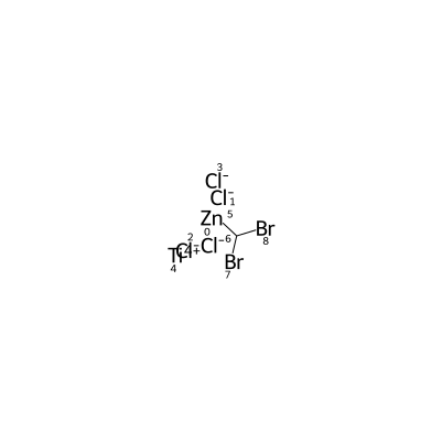 [Cl-].[Cl-].[Cl-].[Cl-].[Ti+4].[Zn][CH](Br)Br